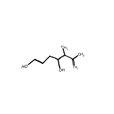 C=C(C)C(C)C(O)CCCO